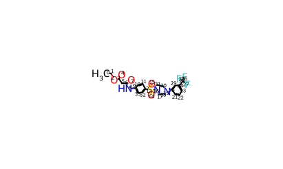 CCOC(=O)CC(=O)Nc1ccc(S(=O)(=O)N2CCN(c3cccc(C(F)(F)F)c3)CC2)cc1